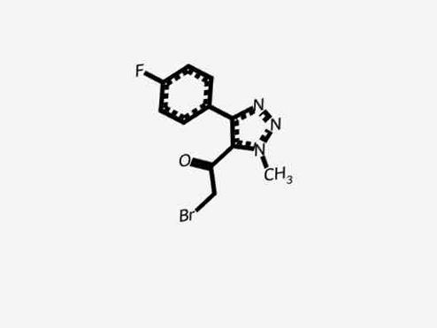 Cn1nnc(-c2ccc(F)cc2)c1C(=O)CBr